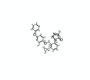 Cc1cc(Oc2ccccc2)ccc1OCc1c(C2CC2)cccc1-n1nnn(C)c1=O